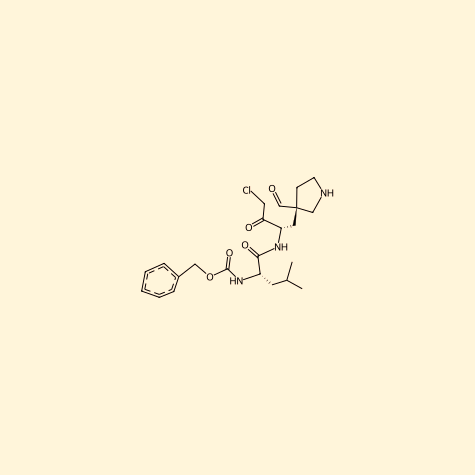 CC(C)C[C@H](NC(=O)OCc1ccccc1)C(=O)N[C@@H](C[C@@]1(C=O)CCNC1)C(=O)CCl